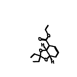 CCOC(=O)C1C=CC[C@@H]2OC(CC)(CC)O[C@H]12